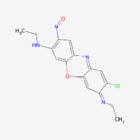 CC/N=c1/cc2oc3cc(NCC)c(N=O)cc3nc-2cc1Cl